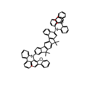 CC1(C)c2cc(N(c3ccccc3-c3ccccc3)c3cccc4c3oc3ccccc34)ccc2-c2cc3c(cc21)C(C)(C)c1cc(N(c2ccccc2-c2ccccc2)c2cccc4c2oc2ccccc24)c2ccccc2c1-3